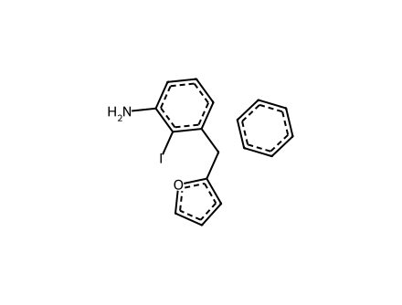 Nc1cccc(Cc2ccco2)c1I.c1ccccc1